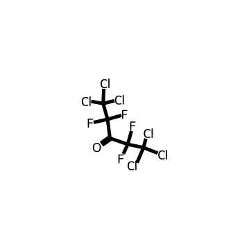 O=C(C(F)(F)C(Cl)(Cl)Cl)C(F)(F)C(Cl)(Cl)Cl